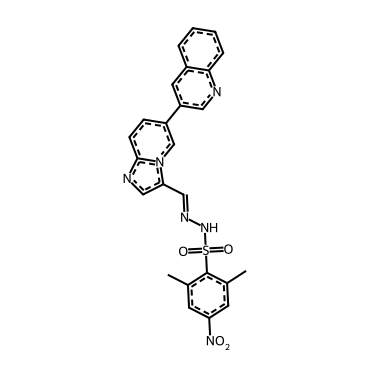 Cc1cc([N+](=O)[O-])cc(C)c1S(=O)(=O)NN=Cc1cnc2ccc(-c3cnc4ccccc4c3)cn12